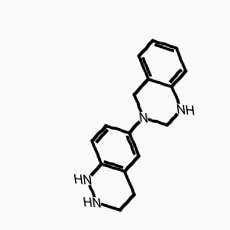 c1ccc2c(c1)CN(c1ccc3c(c1)CCNN3)CN2